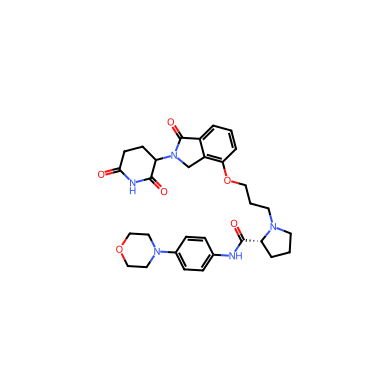 O=C1CCC(N2Cc3c(OCCCN4CCC[C@@H]4C(=O)Nc4ccc(N5CCOCC5)cc4)cccc3C2=O)C(=O)N1